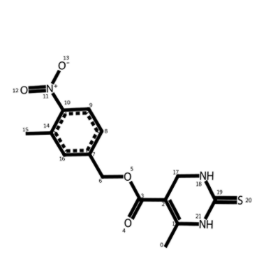 CC1=C(C(=O)OCc2ccc([N+](=O)[O-])c(C)c2)CNC(=S)N1